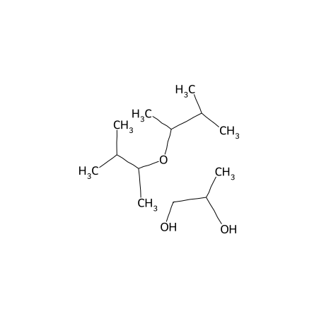 CC(C)C(C)OC(C)C(C)C.CC(O)CO